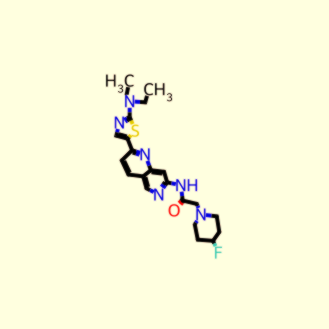 CCN(CC)c1ncc(-c2ccc3cnc(NC(=O)CN4CCC(F)CC4)cc3n2)s1